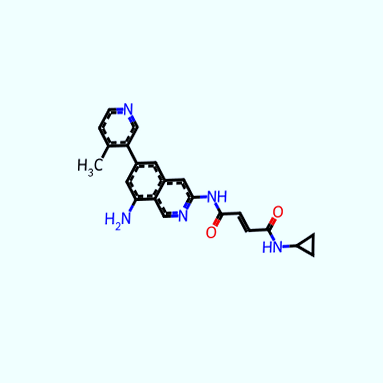 Cc1ccncc1-c1cc(N)c2cnc(NC(=O)/C=C/C(=O)NC3CC3)cc2c1